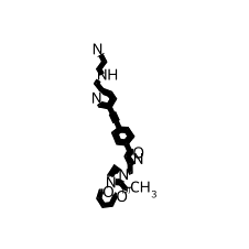 C[C@H](OC1CCCCO1)c1nccn1Cc1cc(-c2ccc(C#Cc3ccc(CNCCC#N)nc3)cc2)on1